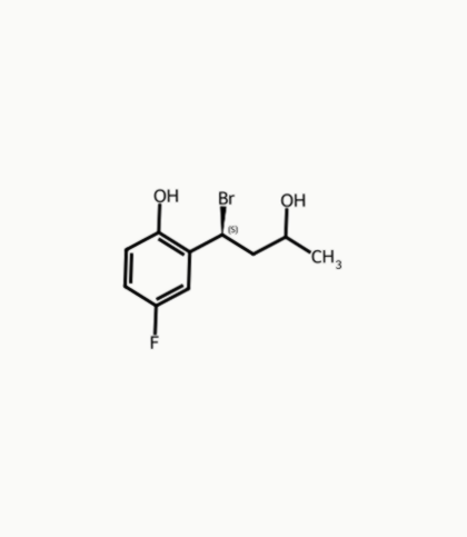 CC(O)C[C@H](Br)c1cc(F)ccc1O